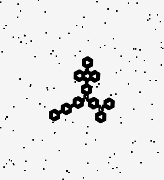 c1ccc(-c2ccc(-c3ccc(N(c4ccc(-c5c6ccccc6c(-c6ccccc6)c6ccccc56)cc4)c4ccc(N(c5ccccc5)c5ccccc5)cc4)cc3)cc2)cc1